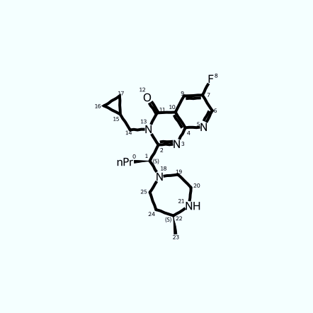 CCC[C@@H](c1nc2ncc(F)cc2c(=O)n1CC1CC1)N1CCN[C@@H](C)CC1